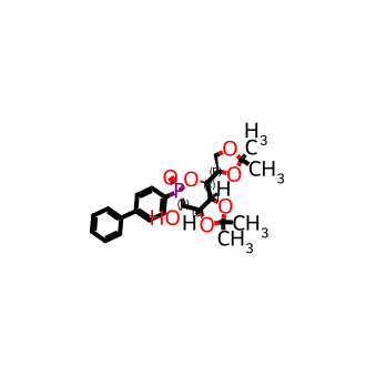 CC1(C)O[C@H]2[C@@H]([C@H]3COC(C)(C)O3)OP(=O)(c3ccc(-c4ccccc4)cc3)[C@@H](O)[C@H]2O1